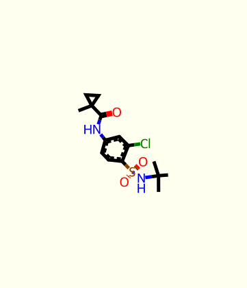 CC(C)(C)NS(=O)(=O)c1ccc(NC(=O)C2(C)CC2)cc1Cl